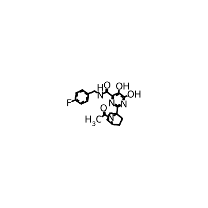 CC(=O)N1C2CCC1(c1nc(O)c(O)c(C(=O)NCc3ccc(F)cc3)n1)CC2